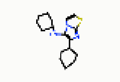 c1cn2c(NC3CCCCC3)c(C3CCCCC3)nc2s1